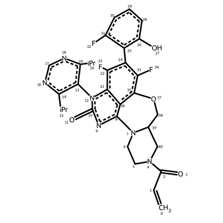 C=CC(=O)N1CCN2c3nc(=O)n(-c4c(C(C)C)ncnc4C(C)C)c4c(F)c(-c5c(O)cccc5F)c(F)c(c34)OCC2C1